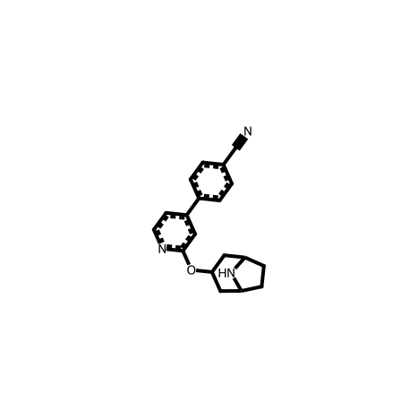 N#Cc1ccc(-c2ccnc(OC3CC4CCC(C3)N4)c2)cc1